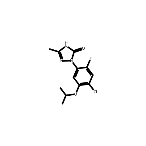 Cc1nn(-c2cc(OC(C)C)c(Cl)cc2F)c(=O)[nH]1